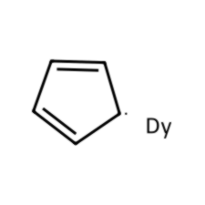 [CH]1C=CC=C1.[Dy]